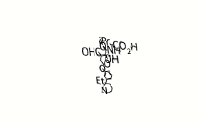 CCC1(c2cccc(OC(=O)CC(C=O)C(O)C(=O)N[C@H](C(=O)O)C(C)C)c2)CCCCN(C)C1